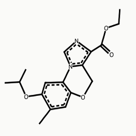 CCOC(=O)c1ncn2c1COc1cc(C)c(OC(C)C)cc1-2